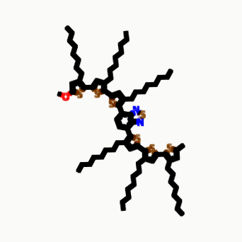 CCCCCCCCc1cc(C)sc1-c1cc(CCCCCCCC)c(-c2cc(CCCCCCCC)c(-c3ccc(-c4sc(-c5sc(-c6sc(OC)cc6CCCCCCCC)cc5CCCCCCCC)cc4CCCCCCCC)c4nsnc34)s2)s1